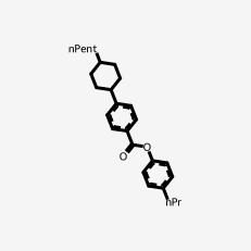 CCCCCC1CCC(c2ccc(C(=O)Oc3ccc(CCC)cc3)cc2)CC1